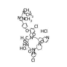 C[C@H]1C(=O)N[C@@H](CO)C(=O)N[C@@]2(Cc3ccc(Cl)cc3)CCCN(C2)C(=O)[C@H](Cc2cccnc2)CC(=O)N1Cc1ccc(Cl)cc1Oc1ccc(-c2cnc(CN(C)C)n2C)cc1.Cl